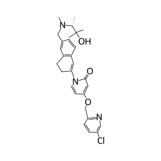 C[C@@H](N(C)Cc1ccc2c(c1)CCC(n1ccc(OCc3ccc(Cl)cn3)cc1=O)=C2)C(C)(C)O